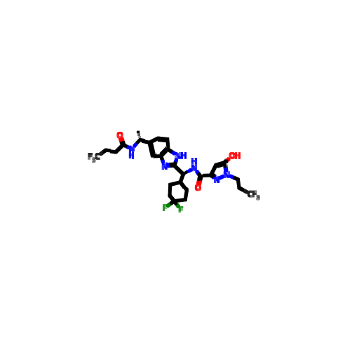 C[C@@H](NC(=O)CCC(F)(F)F)c1ccc2[nH]c([C@@H](NC(=O)c3cc(O)n(CCC(F)(F)F)n3)C3CCC(F)(F)CC3)nc2c1